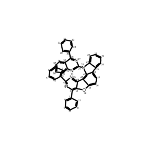 c1ccc(-c2nc(-c3ccccc3)c3oc4ccc5c6ccccc6n(-c6nc(-c7ccccc7)c7ccccc7n6)c5c4c3n2)cc1